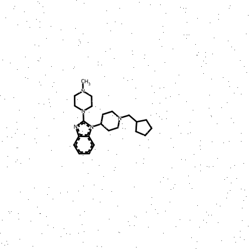 CN1CCN(c2nc3ccccc3n2C2CCN(CC3CCCC3)CC2)CC1